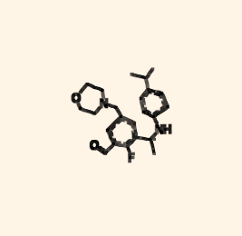 C[C](Nc1ccc(C(C)C)cc1)c1cc(CN2CCOCC2)cc(C=O)c1F